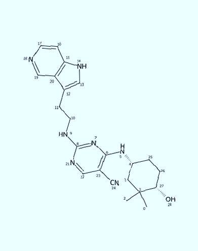 CC1(C)C[C@H](Nc2nc(NCCc3c[nH]c4ccncc34)ncc2C#N)CC[C@@H]1O